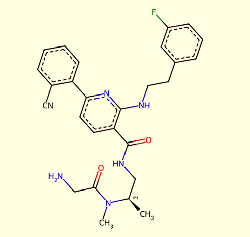 C[C@H](CNC(=O)c1ccc(-c2ccccc2C#N)nc1NCCc1cccc(F)c1)N(C)C(=O)CN